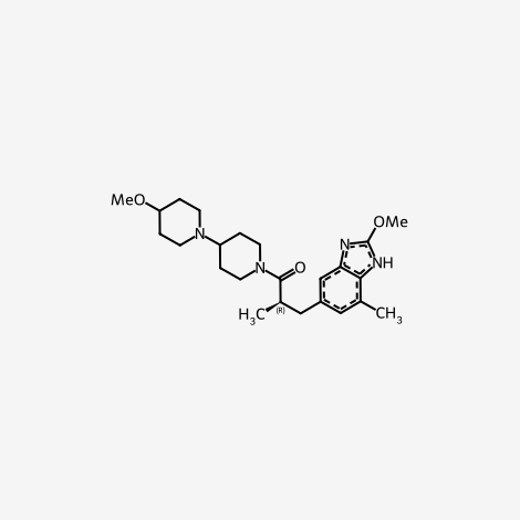 COc1nc2cc(C[C@@H](C)C(=O)N3CCC(N4CCC(OC)CC4)CC3)cc(C)c2[nH]1